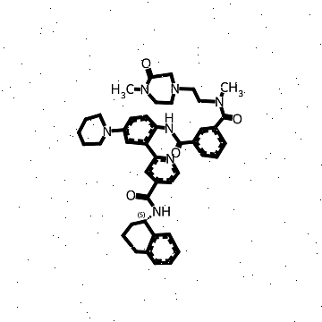 CN1CCN(CCN(C)C(=O)c2cccc(C(=O)Nc3ccc(N4CCCCC4)cc3-c3cc(C(=O)N[C@H]4CCCc5ccccc54)ccn3)c2)CC1=O